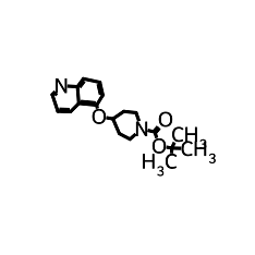 CC(C)(C)OC(=O)N1CCC(Oc2cccc3ncccc23)CC1